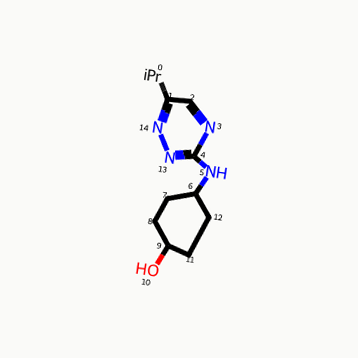 CC(C)c1cnc(NC2CCC(O)CC2)nn1